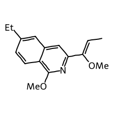 CC=C(OC)c1cc2cc(CC)ccc2c(OC)n1